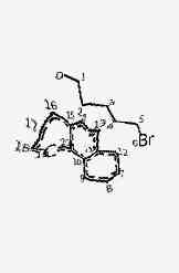 CCCCCCBr.c1ccc2c(c1)ccc1ccccc12